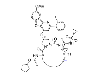 COc1ccc2oc3c(O[C@@H]4C[C@H]5C(=O)N[C@]6(C(=O)NS(=O)(=O)C7CC7)C[C@H]6/C=C\CCCCC[C@H](NC(=O)OC6CCCC6)C(=O)N5C4)cc(-c4ccccc4F)nc3c2c1